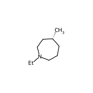 CCN1CCC[C@@H](C)CC1